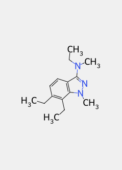 CCc1ccc2c(N(C)CC)nn(C)c2c1CC